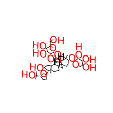 CC(C)(O)[C@@H]1CC[C@](C)([C@H]2[C@@H](O)C[C@@]3(C)[C@@H]4C[C@H](OC5O[C@H](CO)[C@@H](O)[C@H](O)[C@H]5O)[C@H]5C(C)(C)C(O[C@@H]6OC[C@@H](O)[C@H](O)[C@H]6O)CCC56C[C@@]46CC[C@]23C)O1